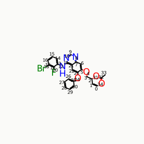 C=CC(COc1cc2ncnc(Nc3cccc(Br)c3F)c2cc1Oc1ccccc1)OC(C)=O